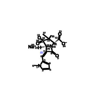 Cn1cccc1/C=C1\C(=O)N2[C@@H](C(=O)[O-])C(C)(C)S(=O)(=O)[C@H]12.[Na+]